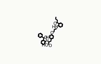 CCCC(=O)c1ccccc1NCCCOc1ccc(CC(Nc2ccccc2C(=O)c2ccccc2)C(=O)O)cc1